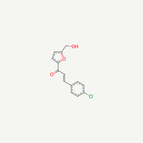 O=C(C=Cc1ccc(Cl)cc1)c1ccc(CO)o1